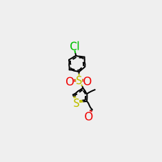 Cc1c(S(=O)(=O)c2ccc(Cl)cc2)csc1C=O